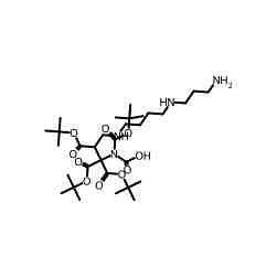 CC(C)(C)OC(=O)C(CNCCCCNCCCN)C(C(=O)OC(C)(C)C)(C(=O)OC(C)(C)C)N(C(=O)O)C(=O)OC(C)(C)C